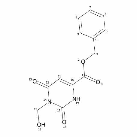 O=C(OCc1ccccc1)c1cc(=O)n(CO)c(=O)[nH]1